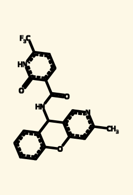 Cc1cc2c(cn1)C(NC(=O)c1ccc(C(F)(F)F)[nH]c1=O)c1ccccc1O2